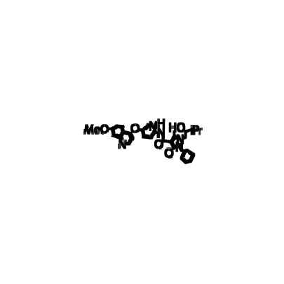 COc1ccc2c(Oc3ccc(NC(=O)c4c(C)n(CC(O)C(C)C)n(-c5ccccc5)c4=O)nc3)ccnc2c1